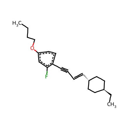 CCCCOc1ccc(C#C/C=C/[C@H]2CC[C@H](CC)CC2)c(F)c1